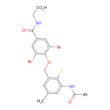 Cc1cc(COc2c(Br)cc(C(=O)NCC(=O)O)cc2Br)c(F)c(NC(=O)C(C)C)c1